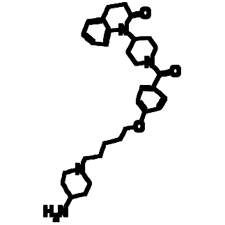 NC1CCN(CCCCCOc2ccc(C(=O)N3CCC(N4C(=O)CCc5ccccc54)CC3)cc2)CC1